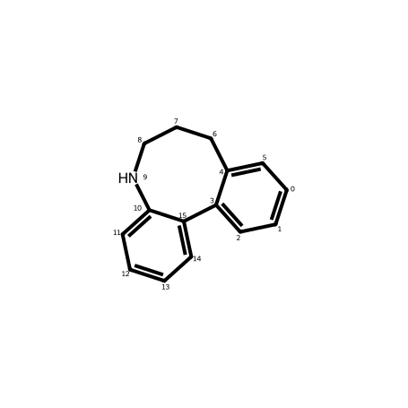 c1ccc2c(c1)CCCNc1ccccc1-2